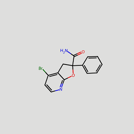 NC(=O)C1(c2ccccc2)Cc2c(Br)ccnc2O1